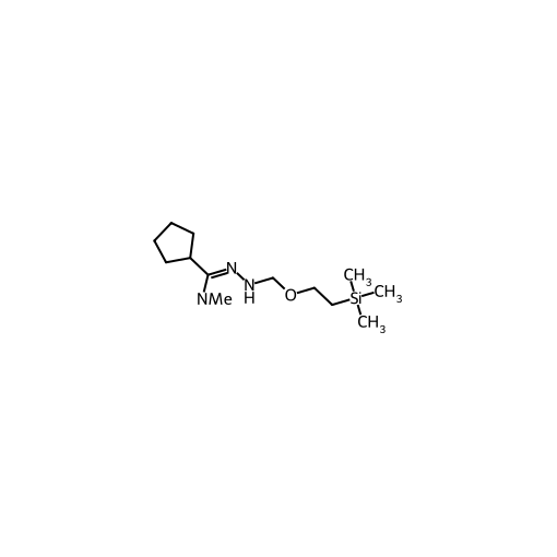 CN/C(=N\NCOCC[Si](C)(C)C)C1CCCC1